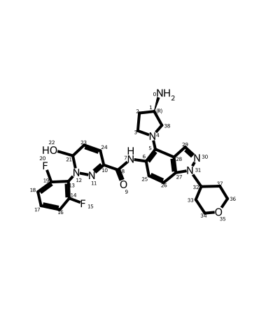 N[C@@H]1CCN(c2c(NC(=O)C3=NN(c4c(F)cccc4F)C(O)C=C3)ccc3c2cnn3C2CCOCC2)C1